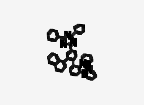 C1=CB2c3cccc(-c4ccc(-c5nc(-c6ccccc6)nc(-c6ccccc6)n5)cc4-c4cccc5ccccc45)c3N3C=CC=CB3N2C=C1